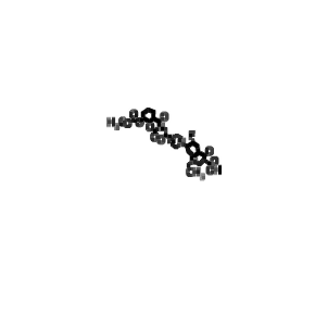 CCn1cc(C(=O)O)c(=O)c2cc(F)c(N3CCN(C(=O)Cn4c(=O)oc5c(OC(=O)OC)cccc5c4=O)CC3)cc21